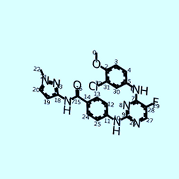 COc1ccc(Nc2nc(Nc3ccc(C(=O)Nc4ccn(C)n4)cc3)ncc2F)cc1Cl